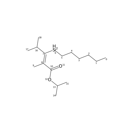 CCCCCC[SiH2]C(=C(C)C(=O)OC(C)C)C(C)C